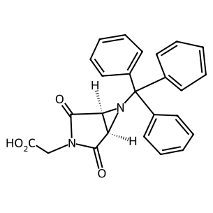 O=C(O)CN1C(=O)[C@@H]2[C@H](C1=O)N2C(c1ccccc1)(c1ccccc1)c1ccccc1